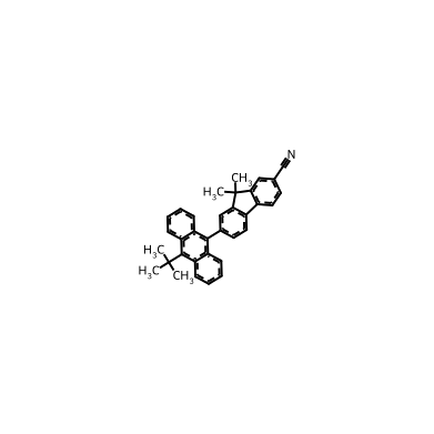 CC(C)(C)c1c2ccccc2c(-c2ccc3c(c2)C(C)(C)c2cc(C#N)ccc2-3)c2ccccc12